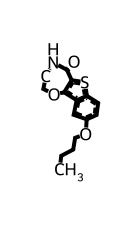 CCCCOc1ccc2sc3c(c2c1)OCCNC3=O